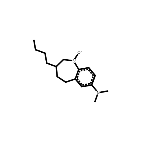 CCCCC1CCc2cc(N(C)C)ccc2[S+]([O-])C1